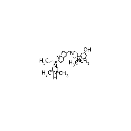 CCC[C@H](c1ccc2cc(CN3CCC(c4cccc(O)c4)(N(C)C)CC3)ccc2n1)N1C[C@@H](C)N[C@@H](C)C1